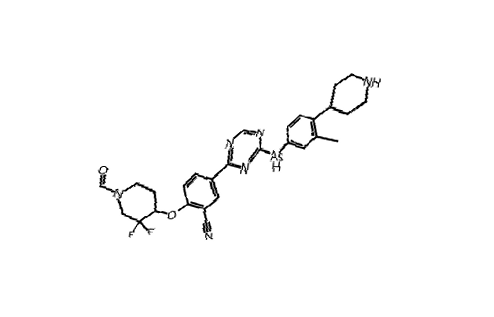 Cc1cc([AsH]c2ncnc(-c3ccc(OC4CCN(C=O)CC4(F)F)c(C#N)c3)n2)ccc1C1CCNCC1